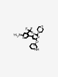 Nc1cc(C(F)(F)F)c(-c2cc(O[C@@H]3CCCNC3)nc(N3CCOCC3)n2)cn1